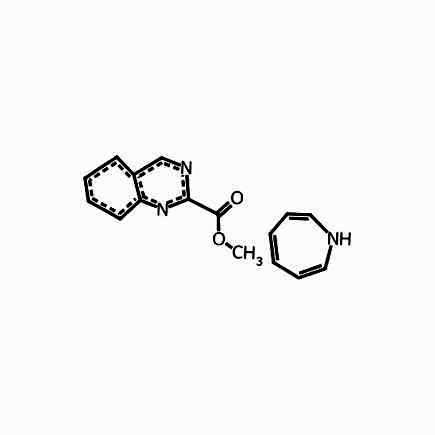 C1=CC=CNC=C1.COC(=O)c1ncc2ccccc2n1